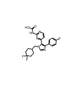 O=C(O)Nc1nccc(-c2c(-c3ccc(F)cc3)ncn2CC2CCC(F)(F)CC2)n1